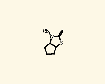 C=C1SC2CCCC2[N]1[Rb]